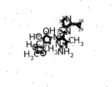 Cc1nc(N)nc(N[C@@H]2C[C@H](C(C)(C)S(C)(=O)=O)[C@@H](O)[C@H]2O)c1-c1nc2c(C3CC3)nccc2s1